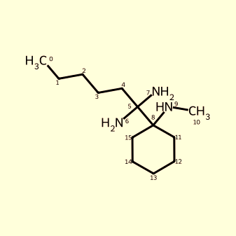 CCCCCC(N)(N)C1(NC)CCCCC1